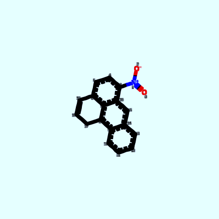 O=[N+]([O-])c1ccc2c3c(c4ccccc4cc13)CC=C2